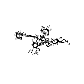 COc1ccccc1Oc1c(NS(=O)(=O)c2ccc(C)cn2)nc(-c2ncccn2)nc1OCC#CCOc1ncccn1